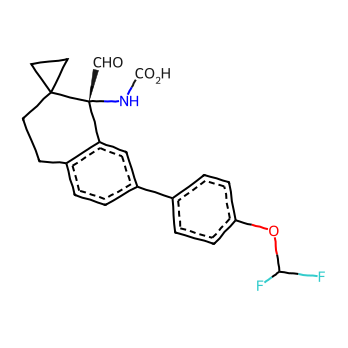 O=C[C@@]1(NC(=O)O)c2cc(-c3ccc(OC(F)F)cc3)ccc2CCC12CC2